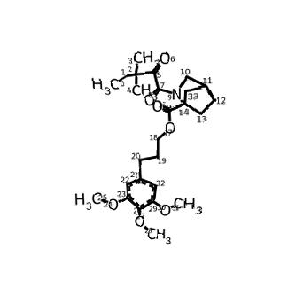 CCC(C)(C)C(=O)C(=O)N1CC2CCC1(C(=O)OCCCc1cc(OC)c(OC)c(OC)c1)C2